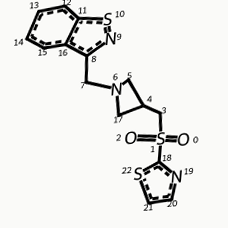 O=S(=O)(CC1CN(Cc2nsc3ccccc23)C1)c1nccs1